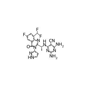 C[C@H](Nc1nc(N)nc(N)c1C#N)c1nc2c(C(F)F)cc(F)cc2c(=O)n1-c1cc[nH]n1